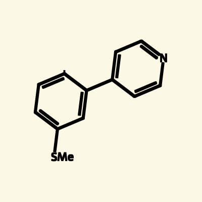 CSc1cc[c]c(-c2ccncc2)c1